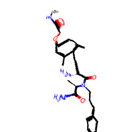 CCCCNC(=O)Oc1cc(C)c(C[C@@H](N)C(=O)N(CCCc2ccccc2)[C@H](C)C(N)=O)c(C)c1